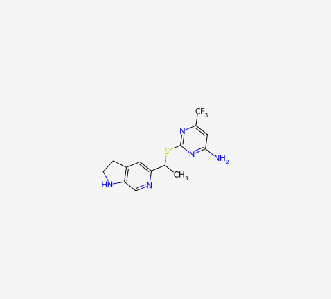 CC(Sc1nc(N)cc(C(F)(F)F)n1)c1cc2c(cn1)NCC2